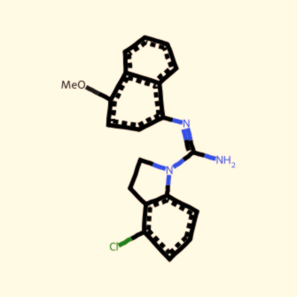 COc1ccc(N=C(N)N2CCc3c(Cl)cccc32)c2ccccc12